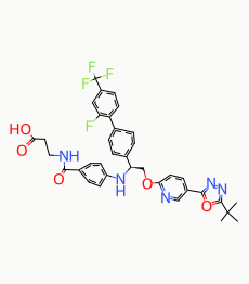 CC(C)(C)c1nnc(-c2ccc(OC[C@@H](Nc3ccc(C(=O)NCCC(=O)O)cc3)c3ccc(-c4ccc(C(F)(F)F)cc4F)cc3)nc2)o1